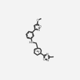 COc1cc(-c2cccc(NCC3CCC4(c5nc(C)no5)CCC3CC4)c2)no1